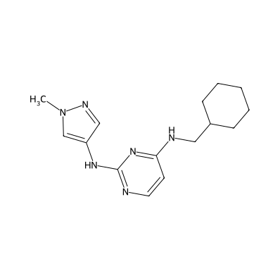 Cn1cc(Nc2nccc(NCC3CCCCC3)n2)cn1